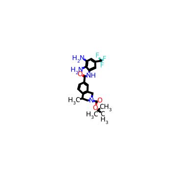 CC1CN(C(=O)OC(C)(C)C)Cc2cc(C(=O)Nc3cc(C(F)(F)F)cc(N)c3N)ccc21